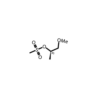 COC[C@@H](C)OS(C)(=O)=O